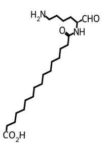 NCCCC[C@@H](C=O)NC(=O)CCCCCCCCCCCCCCC(=O)O